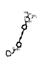 NC[C@H](NC(=O)c1ccc(C#CC#Cc2ccc(NC(=O)CN3CCCCC3)cc2)cc1)C(=O)NO